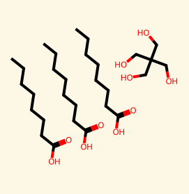 CCCCCCCC(=O)O.CCCCCCCC(=O)O.CCCCCCCC(=O)O.OCC(CO)(CO)CO